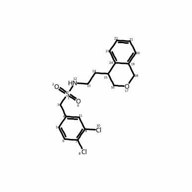 O=S(=O)(Cc1ccc(Cl)c(Cl)c1)NCCC1COCc2ccccc21